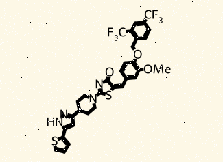 COc1cc(C=C2SC(N3CCC(c4cc(-c5cccs5)[nH]n4)CC3)=NC2=O)ccc1OCc1ccc(C(F)(F)F)cc1C(F)(F)F